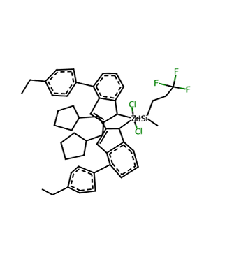 CCc1ccc(-c2cccc3c2C=C(CC2CCCC2)[CH]3[Zr]([Cl])([Cl])([CH]2C(CC3CCCC3)=Cc3c(-c4ccc(CC)cc4)cccc32)[SiH](C)CCC(F)(F)F)cc1